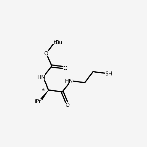 CC(C)[C@@H](NC(=O)OC(C)(C)C)C(=O)NCCS